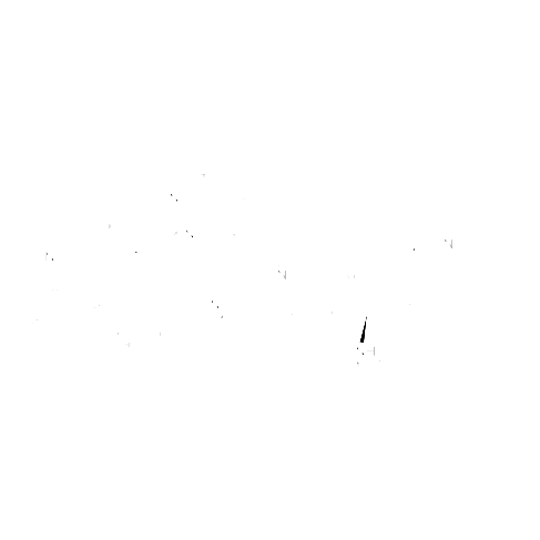 Cc1cnc2c(c1)[C@@H](N)C1(CCN(c3nc(C)c(-c4ccnc(C)c4Cl)n4nccc34)CC1)C2